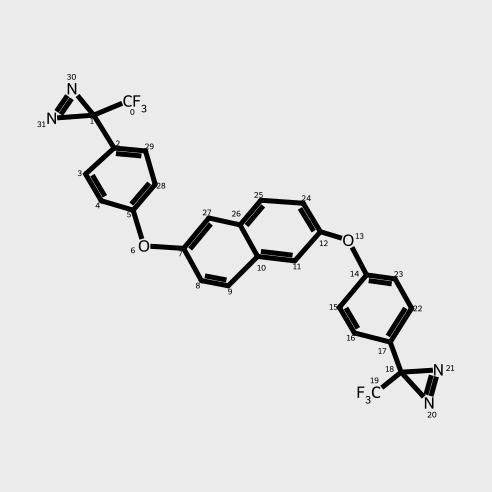 FC(F)(F)C1(c2ccc(Oc3ccc4cc(Oc5ccc(C6(C(F)(F)F)N=N6)cc5)ccc4c3)cc2)N=N1